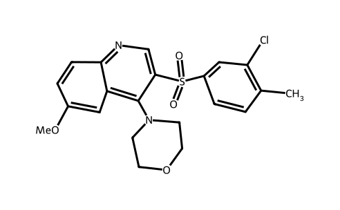 COc1ccc2ncc(S(=O)(=O)c3ccc(C)c(Cl)c3)c(N3CCOCC3)c2c1